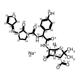 CC1(C)S[C@@H]2[C@H](NC(=O)C(NC(=O)N3CCN(N=C4C=COC4)C3=O)c3ccc(O)cc3)C(=O)N2[C@H]1C(=O)[O-].[Na+]